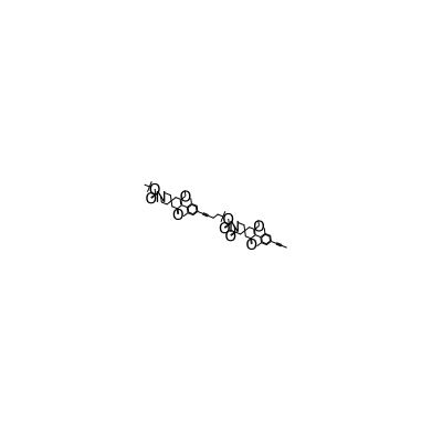 CC#Cc1cc(C)c(C2=C(OC)CC3(CCN(C(=O)OC(C)(C)CCC#Cc4cc(C)c(C5=C(OC)CC6(CCN(C(=O)OC(C)(C)C)CC6)CC5=O)c(C)c4)C(=O)C3)CC2=O)c(C)c1